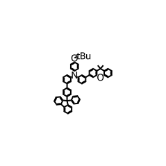 CC(C)(C)Oc1ccc(N(c2cccc(-c3ccc(C4(c5ccccc5)c5ccccc5-c5ccccc54)cc3)c2)c2cccc(-c3ccc4c(c3)Oc3ccccc3C4(C)C)c2)cc1